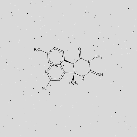 CN1C(=N)N[C@](C)(c2ccnc(C#N)c2)[C@@H](c2ccc(C(F)(F)F)cn2)C1=O